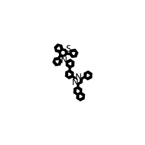 c1ccc(-c2cc(-c3ccc4ccccc4c3)nc(-c3cccc(-c4cccc(-n5c6ccccc6c6c7ccccc7c7sc8ccccc8c7c65)c4)c3)n2)cc1